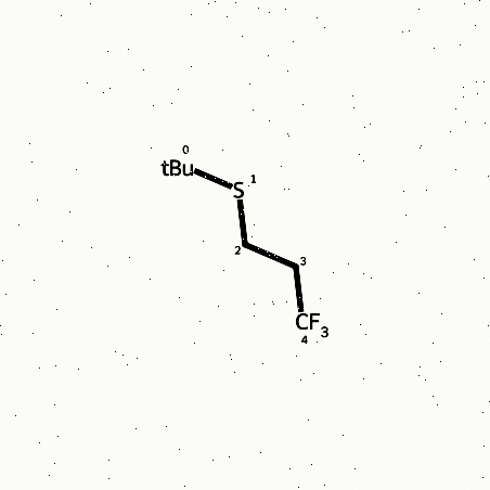 CC(C)(C)SCCC(F)(F)F